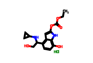 CCOC(=O)Oc1cc2c(C(CO)NC3CC3)ccc(O)c2[nH]1.Cl